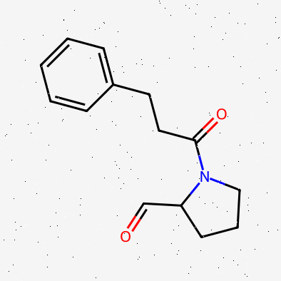 O=CC1CCCN1C(=O)CCc1ccccc1